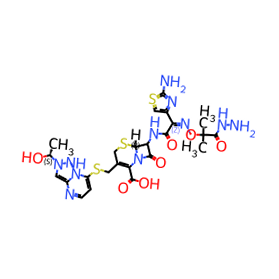 C[C@H](O)N1C=C2N=CC=C(SCC3=C(C(=O)O)N4C(=O)C(NC(=O)/C(=N\OC(C)(C)C(=O)NN)c5csc(N)n5)[C@H]4SC3)N2N1